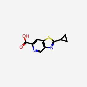 O=C(O)c1cc2sc(C3CC3)nc2cn1